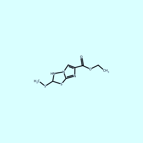 CCOC(=O)c1cn2c(n1)SC(SC)N2